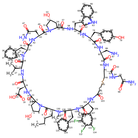 CCCC[C@H]1C(=O)N2C[C@H](O)C[C@@H]2C(=O)N[C@@H](CC(=O)O)C(=O)N[C@@H](C(C)C)C(=O)N(C)[C@@H](Cc2ccccc2)C(=O)N[C@@H](CC(N)=O)C(=O)N2C[C@H](O)C[C@H]2C(=O)N[C@@H](Cc2c[nH]c3ccccc23)C(=O)N[C@@H](Cc2ccc(O)cc2)C(=O)N[C@@H](CN)C(=O)N[C@H](C(=O)NCC(N)=O)CSCC(=O)N[C@@H](Cc2cc(F)c(F)c(F)c2)C(=O)N(C)[C@@H](Cc2ccccc2)C(=O)N1C